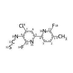 Cc1ccc(-c2cc(Cl)c(N=C=S)c(F)n2)nc1F